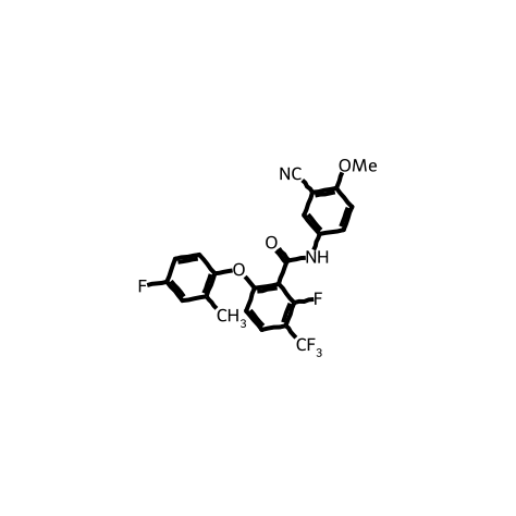 COc1ccc(NC(=O)c2c(Oc3ccc(F)cc3C)ccc(C(F)(F)F)c2F)cc1C#N